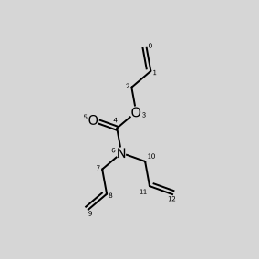 C=CCOC(=O)N(CC=C)CC=C